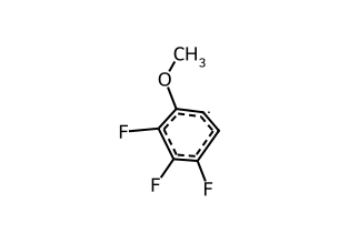 COc1[c]cc(F)c(F)c1F